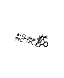 CCCCn1nc(C(OC(C)C)OC(C)C)nc1Cc1ccc(-c2ccccc2-c2nnn[nH]2)nc1